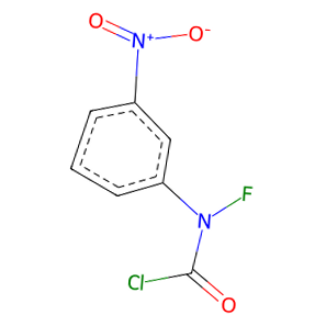 O=C(Cl)N(F)c1cccc([N+](=O)[O-])c1